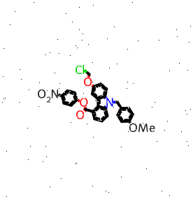 COc1ccc(Cn2c3ccc(OCCl)cc3c3c(C(=O)Oc4ccc([N+](=O)[O-])cc4)cccc32)cc1